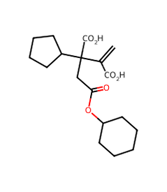 C=C(C(=O)O)C(CC(=O)OC1CCCCC1)(C(=O)O)C1CCCC1